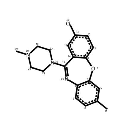 Cc1ccc2c(c1)Oc1ccc(Cl)cc1C(N1CCN(C)CC1)=N2